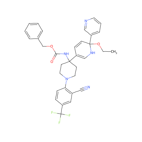 CCOC1(c2cccnc2)C=CC(C2(NC(=O)OCc3ccccc3)CCN(c3ccc(C(F)(F)F)cc3C#N)CC2)=CN1